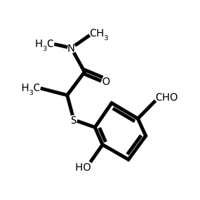 CC(Sc1cc(C=O)ccc1O)C(=O)N(C)C